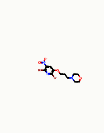 O=[N+]([O-])c1cc(OCCCN2CCOCC2)c(Br)nc1Br